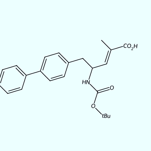 CC(=CC(Cc1ccc(-c2ccccc2)cc1)NC(=O)OC(C)(C)C)C(=O)O